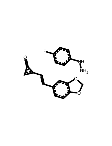 NNc1ccc(F)cc1.O=c1cc1C=Cc1ccc2c(c1)OCO2